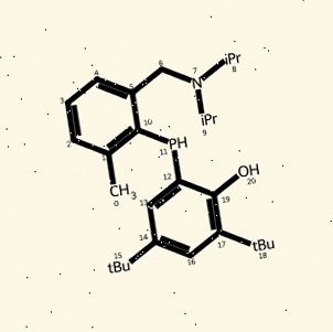 Cc1cccc(CN(C(C)C)C(C)C)c1Pc1cc(C(C)(C)C)cc(C(C)(C)C)c1O